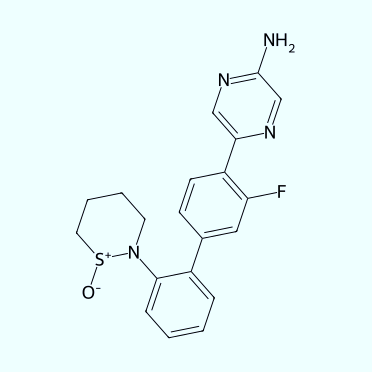 Nc1cnc(-c2ccc(-c3ccccc3N3CCCC[S+]3[O-])cc2F)cn1